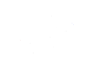 [NH]C(=O)C(O)c1cccc(Br)c1